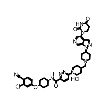 Cl.N#Cc1ccc(O[C@H]2CC[C@H](NC(=O)c3ccc(N4CCC(CN5CCC(n6ncc7c(N8CCC(=O)NC8=O)cncc76)CC5)CC4)nn3)CC2)cc1Cl